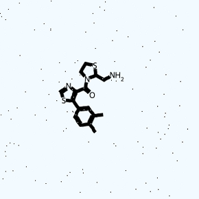 Cc1ccc(-c2scnc2C(=O)N2CCSC2CN)cc1C